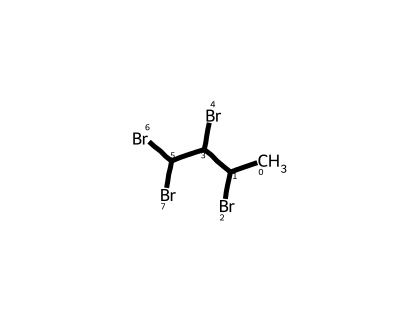 CC(Br)C(Br)C(Br)Br